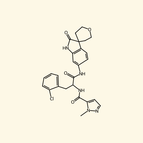 Cn1nccc1C(=O)NC(Cc1ccccc1Cl)C(=O)Nc1ccc2c(c1)NC(=O)C21CCOCC1